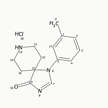 Cc1cccc(N2C=NC(=O)C23CCNCC3)c1.Cl